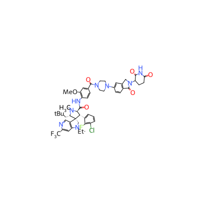 C[CH]N1C[C@]2(c3cnc(C(F)(F)F)cc31)[C@H](CC(C)(C)C)N(C)[C@@H](C(=O)Nc1ccc(C(=O)N3CCN(c4ccc5c(c4)CN(C4CCC(=O)NC4=O)C5=O)CC3)cc1OC)[C@@H]2c1cccc(Cl)c1F